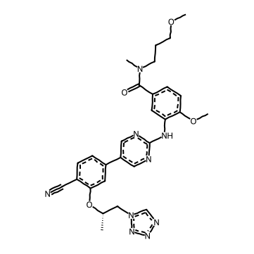 COCCCN(C)C(=O)c1ccc(OC)c(Nc2ncc(-c3ccc(C#N)c(O[C@@H](C)Cn4cnnn4)c3)cn2)c1